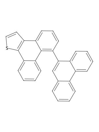 c1ccc2c(c1)cc(-c1cccc3c4ccsc4c4ccccc4c13)c1ccccc12